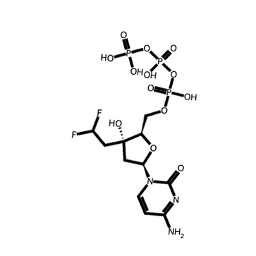 Nc1ccn([C@H]2C[C@@](O)(CC(F)F)[C@@H](COP(=O)(O)OP(=O)(O)OP(=O)(O)O)O2)c(=O)n1